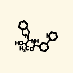 CC(O)C(NC(=O)c1cccc(-c2ccccn2)c1)N1Cc2ccccc2C1